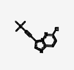 C[Si](C)(C)C#Cc1cnc2ccc(Cl)nn12